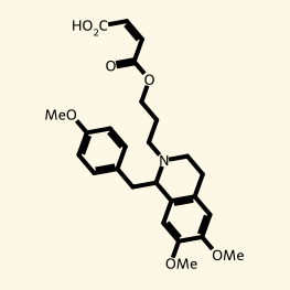 COc1ccc(CC2c3cc(OC)c(OC)cc3CCN2CCCOC(=O)/C=C\C(=O)O)cc1